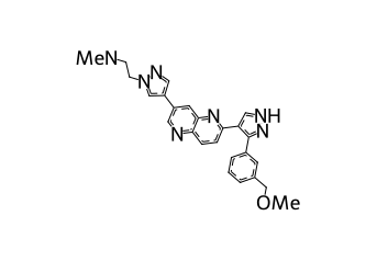 CNCCn1cc(-c2cnc3ccc(-c4c[nH]nc4-c4cccc(COC)c4)nc3c2)cn1